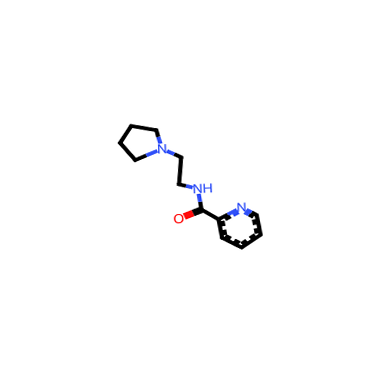 O=C(NCCN1CCCC1)c1ccccn1